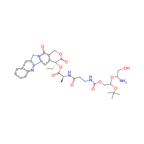 CC[C@@]1(OC(=O)[C@H](C)NC(=O)CCNC(=O)OCC(OC(N)CO)OC(C)(C)C)C(=O)OCc2c1cc1n(c2=O)Cc2cc3ccccc3nc2-1